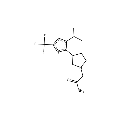 CC(C)c1cc(C(F)(F)F)nn1C1CCN(CC(N)=O)C1